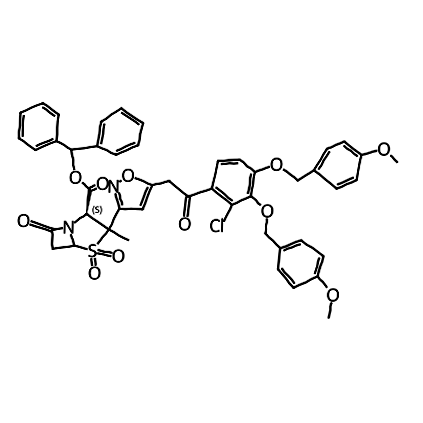 COc1ccc(COc2ccc(C(=O)Cc3cc(C4(C)[C@H](C(=O)OC(c5ccccc5)c5ccccc5)N5C(=O)CC5S4(=O)=O)no3)c(Cl)c2OCc2ccc(OC)cc2)cc1